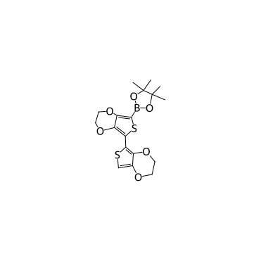 CC1(C)OB(c2sc(-c3scc4c3OCCO4)c3c2OCCO3)OC1(C)C